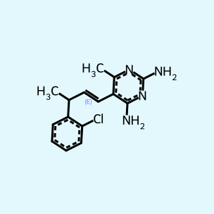 Cc1nc(N)nc(N)c1/C=C/C(C)c1ccccc1Cl